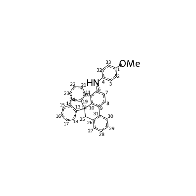 COc1ccc(Nc2ccc3c(c2)C(c2ccccc2)(c2ccccc2)Cc2ccccc2-3)cc1